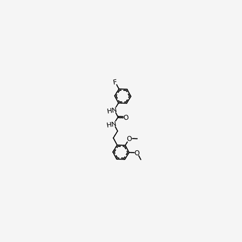 COc1cccc(CCNC(=O)Nc2cccc(F)c2)c1OC